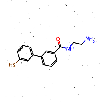 NCCNC(=O)c1cccc(-c2cccc(S)c2)c1